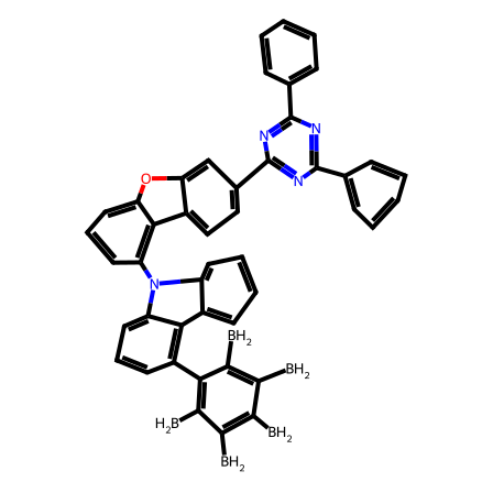 Bc1c(B)c(B)c(-c2cccc3c2c2ccccc2n3-c2cccc3oc4cc(-c5nc(-c6ccccc6)nc(-c6ccccc6)n5)ccc4c23)c(B)c1B